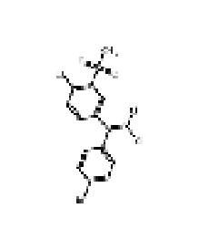 CS(=O)(=O)c1cc(C(=C(Cl)Cl)c2ccc(Br)cc2)ccc1Cl